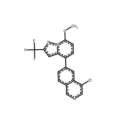 COc1ccc(-c2ccc3cncc(Cl)c3c2)c2cc(C(F)(F)F)nn12